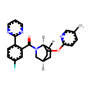 O=C(c1cc(F)ccc1-c1ncccn1)N1C[C@@H]2CC[C@H]1[C@H](Oc1ccc(C(F)(F)F)cn1)C2